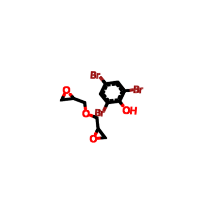 C(OCC1CO1)C1CO1.Oc1c(Br)cc(Br)cc1Br